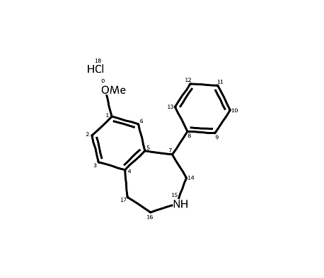 COc1ccc2c(c1)C(c1ccccc1)CNCC2.Cl